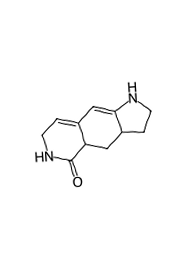 O=C1NCC=C2C=C3NCCC3CC12